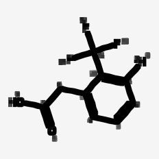 [2H]c1cccc(CC(=O)O)c1C(F)(F)F